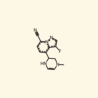 CN1C=CNC(c2ccc(C#N)n3ncc(F)c23)C1